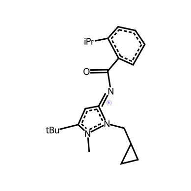 CC(C)c1ccccc1C(=O)/N=c1\cc(C(C)(C)C)n(C)n1CC1CC1